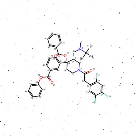 [2H]C([2H])([2H])N(C)C[C@@H]1CN(C(=O)Cc2cc(F)c(F)cc2F)CC[C@@]1(OC(=O)c1ccccc1)c1cccc(C(=O)Oc2ccccc2)c1